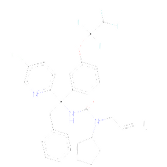 C=CCN(C(=O)NC(Cc1ccccc1)(c1cccc(OC(F)(F)C(F)F)c1)c1ccc(Cl)cn1)C1CCCC1